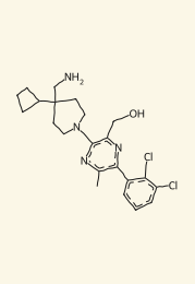 Cc1nc(N2CCC(CN)(C3CCC3)CC2)c(CO)nc1-c1cccc(Cl)c1Cl